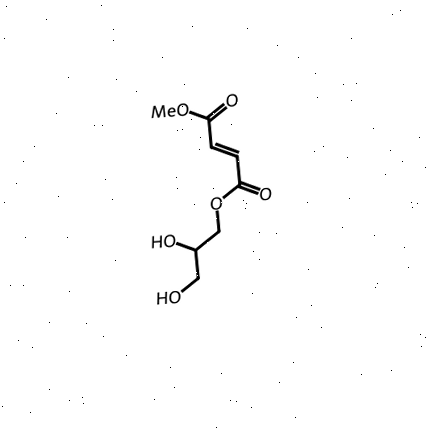 COC(=O)C=CC(=O)OCC(O)CO